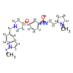 CCn1ccc2cc(CN3CCC(Oc4cccc(C(=O)NCCC5CCCN5C)c4)CC3)ccc21